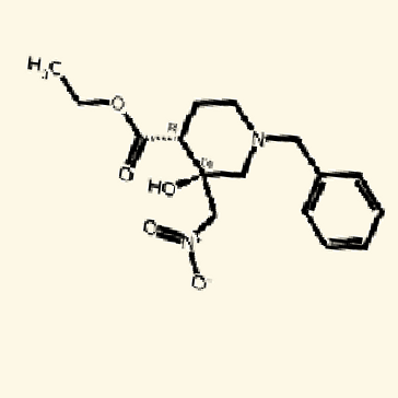 CCOC(=O)[C@@H]1CCN(Cc2ccccc2)C[C@]1(O)C[N+](=O)[O-]